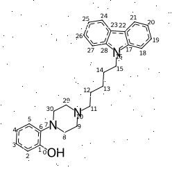 Oc1ccccc1N1CCN(CCCCCn2c3ccccc3c3ccccc32)CC1